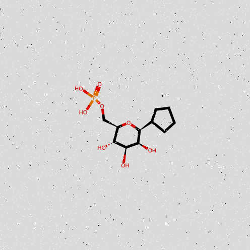 O=P(O)(O)OC[C@H]1O[C@@H](C2CCCC2)[C@@H](O)[C@@H](O)[C@@H]1O